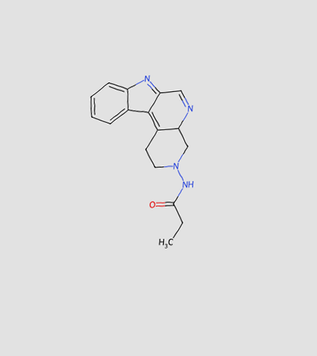 CCC(=O)NN1CCC2=C3C(=Nc4ccccc43)C=NC2C1